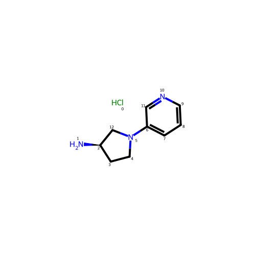 Cl.N[C@@H]1CCN(c2cccnc2)C1